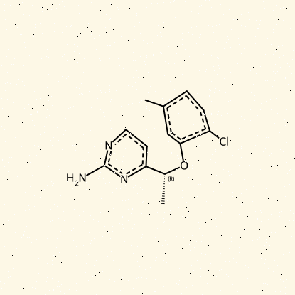 Cc1ccc(Cl)c(O[C@H](C)c2ccnc(N)n2)c1